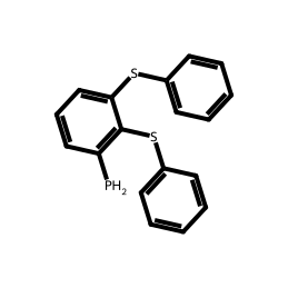 Pc1cccc(Sc2ccccc2)c1Sc1ccccc1